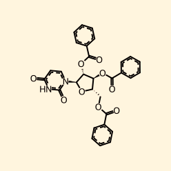 O=C(OC[C@@H]1O[C@@H](n2ccc(=O)[nH]c2=O)[C@H](OC(=O)c2ccccc2)[C@H]1OC(=O)c1ccccc1)c1ccccc1